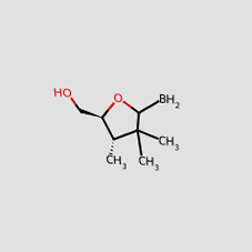 BC1O[C@H](CO)[C@@H](C)C1(C)C